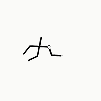 [CH2]COC(C)(CC)CC